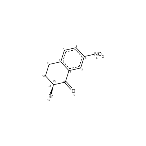 O=C1c2cc([N+](=O)[O-])ccc2CC[C@@H]1Br